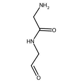 NCC(=O)NCC=O